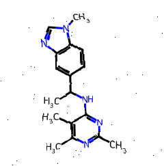 Cc1nc(C)c(C)c(NC(C)c2ccc3c(c2)ncn3C)n1